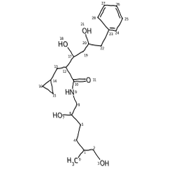 CC(CO)CCC(O)CNC(=O)C(CC1CC1)C(O)CC(O)Cc1ccccc1